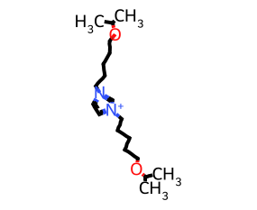 CC(C)OCCCCCn1cc[n+](CCCCCOC(C)C)c1